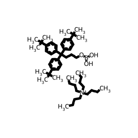 CC(C)(C)c1ccc(C(CCCOB(O)O)(c2ccc(C(C)(C)C)cc2)c2ccc(C(C)(C)C)cc2)cc1.CCCC[N+](CCCC)(CCCC)CCCC